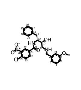 COc1cccc(CNC[C@H](O)[C@H](Cc2ccccc2)NC(=O)c2ccc(Cl)c([N+](=O)[O-])c2)c1